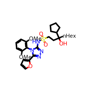 CCCCCCC(O)(CCS(=O)(=O)Nc1nnc(-c2ccco2)n1-c1c(OC)cccc1OC)C1CCCC1